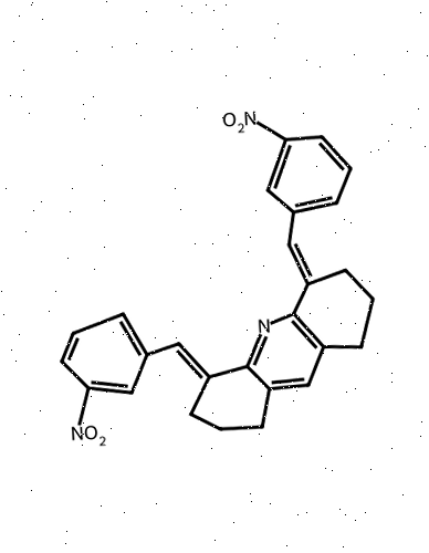 O=[N+]([O-])c1cccc(C=C2CCCc3cc4c(nc32)C(=Cc2cccc([N+](=O)[O-])c2)CCC4)c1